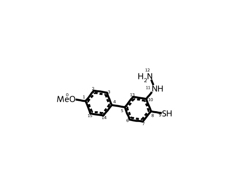 COc1ccc(-c2ccc(S)c(NN)c2)cc1